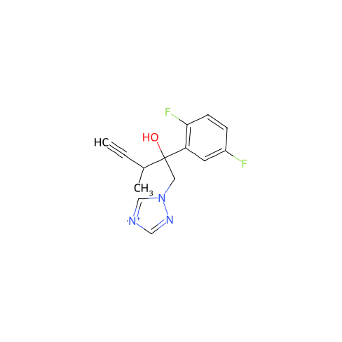 C#CC(C)C(O)(CN1C=[N+]C=N1)c1cc(F)ccc1F